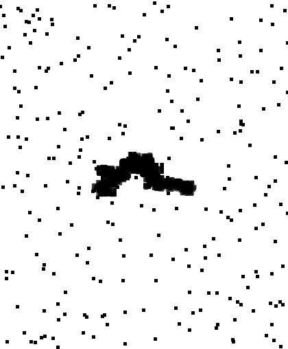 Cc1cc(C(=O)Nc2cccc(-c3cccc(NC(=O)c4ccc(CN(CCO[Si](C)(C)C(C)(C)C)C(=O)OC(C)(C)C)cn4)c3C)c2Cl)nc2c1CCN(C1CC(OCc3ccccc3)C1)C2